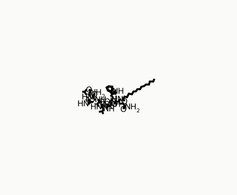 CCCCCCCCCCCCCCCC(=O)N[C@@H](CCC(N)=O)C(=O)N[C@@H](Cc1c[nH]c2ccccc12)C(=O)N[C@@H](C)C(=O)N[C@H](C(=O)N[C@@H](C)C(=O)N[C@@H](Cc1c[nH]cn1)C(=O)N[C@@H](CC(C)C)C(N)=O)C(C)C